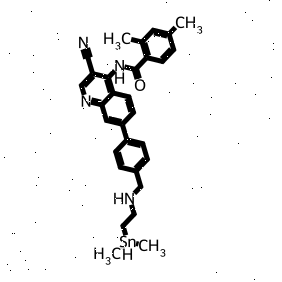 Cc1ccc(C(=O)Nc2c(C#N)cnc3cc(-c4ccc(CNC[CH2][SnH]([CH3])[CH3])cc4)ccc23)c(C)c1